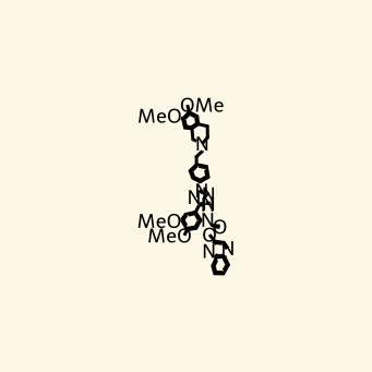 COc1cc2c(cc1OC)CN(CCc1ccc(-n3nnc(-c4cc(OC)c(OC)cc4NC(=O)Oc4cnc5ccccc5n4)n3)cc1)CC2